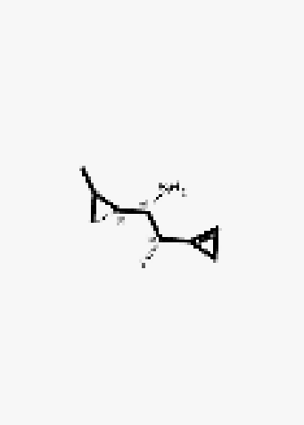 CC1C[C@H]1[C@H](N)[C@@H](F)C1=CC1